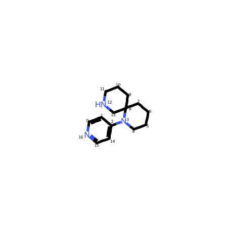 c1cc(N2CCCCC23CCCNC3)ccn1